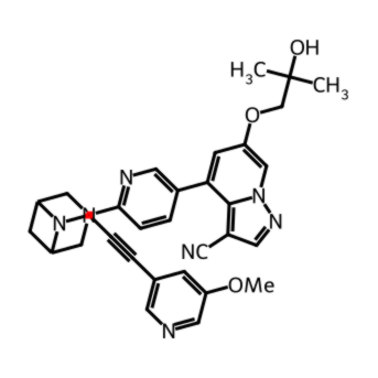 COc1cncc(C#CCN2C3CC2CN(c2ccc(-c4cc(OCC(C)(C)O)cn5ncc(C#N)c45)cn2)C3)c1